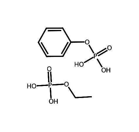 CCOP(=O)(O)O.O=P(O)(O)Oc1ccccc1